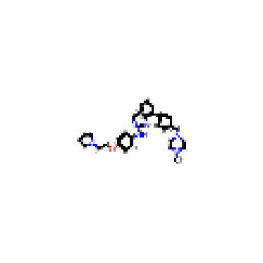 CN1CCN(Cc2ccc(-c3cccc4cnc(Nc5ccc(OCCN6CCCC6)cc5)nc34)cc2)CC1